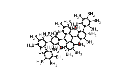 Bc1c(B)c(B)c(-c2c(B)c(B)c(B)c(-c3c4c(B)c(B)c(B)c(B)c4c(-c4c(B)c(B)c(-c5c(B)c(B)c(B)c6oc7c(B)c(B)c(B)c(B)c7c56)c(B)c4B)c4c(B)c(B)c(B)c(B)c34)c2B)c(B)c1B